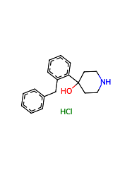 Cl.OC1(c2ccccc2Cc2ccccc2)CCNCC1